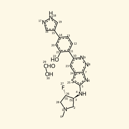 CN1C[C@H](Nc2nc3nnc(-c4ccc(-c5cn[nH]c5)cc4O)cc3s2)[C@@H](F)C1.O=CO